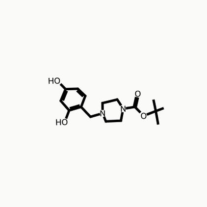 CC(C)(C)OC(=O)N1CCN(Cc2ccc(O)cc2O)CC1